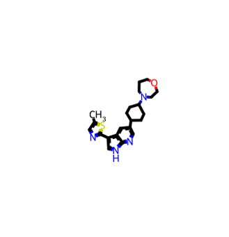 Cc1cnc(-c2c[nH]c3ncc(C4CCC(N5CCCOCC5)CC4)cc23)s1